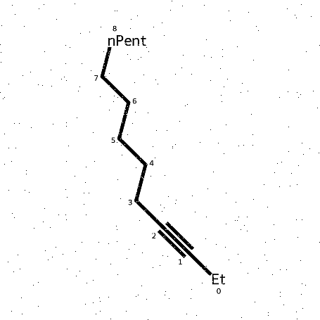 [CH2]CC#CCCCCCCCCC[CH2]